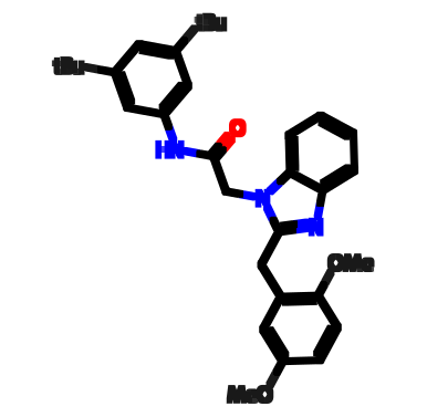 COc1ccc(OC)c(Cc2nc3ccccc3n2CC(=O)Nc2cc(C(C)(C)C)cc(C(C)(C)C)c2)c1